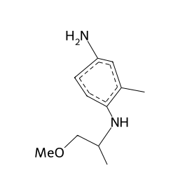 COCC(C)Nc1ccc(N)cc1C